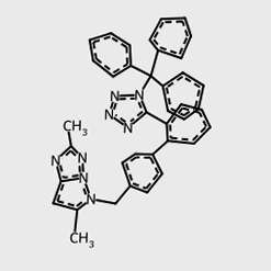 Cc1nc2cc(C)n(Cc3ccc(-c4ccccc4-c4nnnn4C(c4ccccc4)(c4ccccc4)c4ccccc4)cc3)n2n1